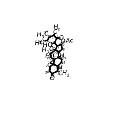 C=C(C(=O)[C@H](O)C1[C@@H](OC(C)=O)C[C@@]2(C)[C@@H]3CC[C@H]4[C@H](C)C(=O)C=C[C@@]45C[C@@]35CC[C@]12C)[C@@H](C)CO